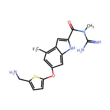 CN(C(=N)N)C(=O)c1cc2c(C(F)(F)F)cc(Oc3ccc(CN)s3)cc2[nH]1